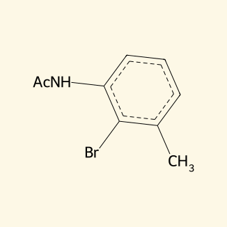 CC(=O)Nc1cccc(C)c1Br